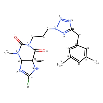 CCCN1C(=O)N(CCCn2nnc(Cc3cc(C(F)(F)F)cc(C(F)(F)F)c3)n2)C(=O)[C@]2(C)NC(Cl)=NC12